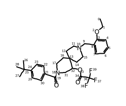 CCOc1ccccc1CN1CCC2(CC1)CCN(C(=O)c1ccc(C(C)(C)C)cc1)CC2OC(=O)C(F)(F)F